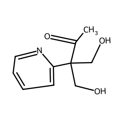 CC(=O)C(CO)(CO)c1ccccn1